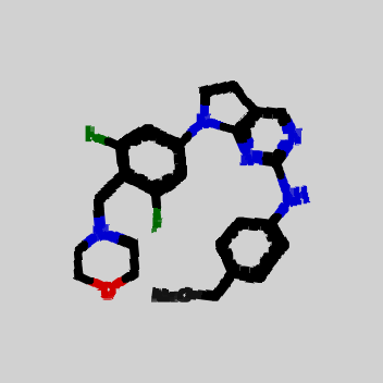 COCc1ccc(Nc2ncc3c(n2)N(c2cc(F)c(CN4CCOCC4)c(F)c2)CC3)cc1